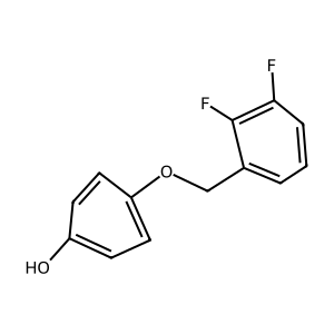 Oc1ccc(OCc2cccc(F)c2F)cc1